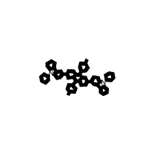 Cc1ccc(-c2c3ccc(-c4ccc5c(c4)c4ccccc4n5-c4ccccc4)cc3c(-c3ccc(C)cc3)c3ccc(-c4ccc5c(c4)c4ccccc4n5-c4ccccc4)cc23)cc1